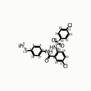 CC(C)Sc1ccc(NC(=O)c2cc(Cl)ccc2NS(=O)(=O)c2ccc(Cl)cc2)cc1